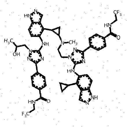 CC(O)Cn1nc(-c2ccc(C(=O)NCC(F)(F)F)cc2)nc1Nc1ccc2[nH]ncc2c1C1CC1N(C)CCn1nc(-c2ccc(C(=O)NCC(F)(F)F)cc2)nc1Nc1ccc2[nH]ncc2c1C1CC1